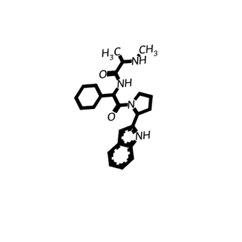 CNC(C)C(=O)NC(C(=O)N1CCCC1c1cc2ccccc2[nH]1)C1CCCCC1